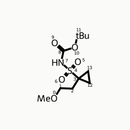 COCCC1(S(=O)(=O)NC(=O)OC(C)(C)C)CC1